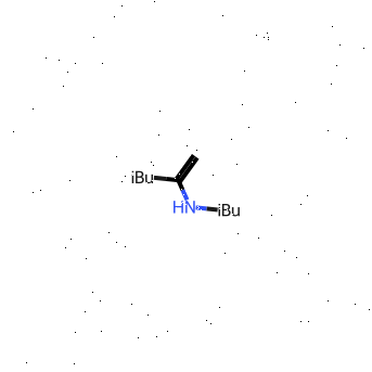 C=C(NC(C)CC)C(C)CC